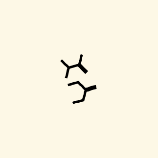 C=C(C)C(C)C.C=C(CC)CC